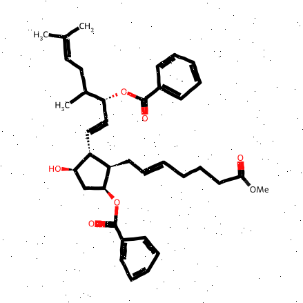 COC(=O)CCCC=CC[C@@H]1[C@@H](C=C[C@@H](OC(=O)c2ccccc2)C(C)CC=C(C)C)[C@H](O)C[C@@H]1OC(=O)c1ccccc1